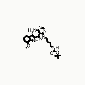 COc1cccc2cc(-c3nn(CCCCNC(=O)OC(C)(C)C)c4ncnc(N)c34)[nH]c12